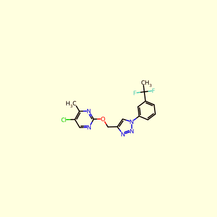 Cc1nc(OCc2cn(-c3cccc(C(C)(F)F)c3)nn2)ncc1Cl